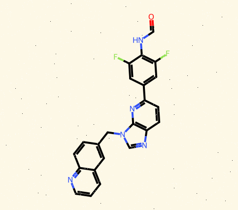 O=CNc1c(F)cc(-c2ccc3ncn(Cc4ccc5ncccc5c4)c3n2)cc1F